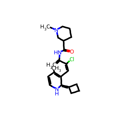 C=C(NC(=O)C1CCCN(C)C1)/C(Cl)=C\C1=C(C)C=CNC1=C1CCC1